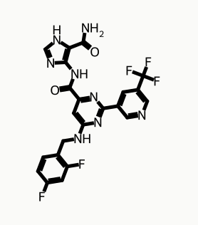 NC(=O)c1[nH]cnc1NC(=O)c1cc(NCc2ccc(F)cc2F)nc(-c2cncc(C(F)(F)F)c2)n1